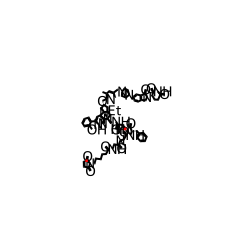 CC[C@@]12C[C@@H](Oc3ncc(CN4CCN(c5ccc6c(c5)C(=O)N([C@H]5CCC(=O)NC5=O)C6)CC4)cc3C)CN1c1cc(-c3ccccc3O)nnc1N(CNC(=O)CNC(=O)[C@H](Cc1ccccc1)NC(=O)CNC(=O)CNC(=O)CCCCCN1C(=O)C=CC1=O)C2